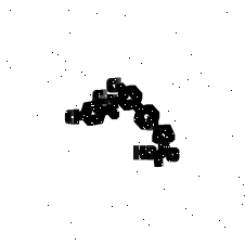 CC(O)C(=O)N1CCC(N2CCC(c3ccc(Cl)c(NC(C)c4ccc(Cl)cc4Cl)c3)CC2)C1